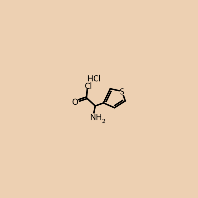 Cl.NC(C(=O)Cl)c1ccsc1